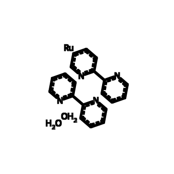 O.O.[Ru].c1ccc(-c2ccccn2)nc1.c1ccc(-c2ccccn2)nc1